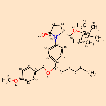 CCCCC[C@H](OCc1ccc(OC)cc1)c1ccc(N2C(=O)CC[C@@H]2CO[Si](C)(C)C(C)(C)C)cc1